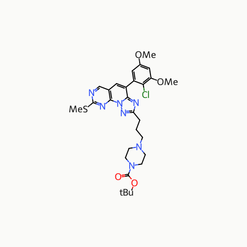 COc1cc(OC)c(Cl)c(-c2cc3cnc(SC)nc3n3nc(CCCN4CCN(C(=O)OC(C)(C)C)CC4)nc23)c1